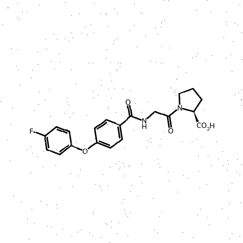 O=C(NCC(=O)N1CCC[C@H]1C(=O)O)c1ccc(Oc2ccc(F)cc2)cc1